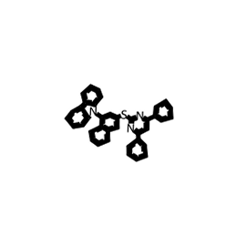 c1ccc(-c2cc(-c3ccccc3)nc(Sc3cc(-n4c5ccccc5c5ccccc54)c4ccccc4c3)n2)cc1